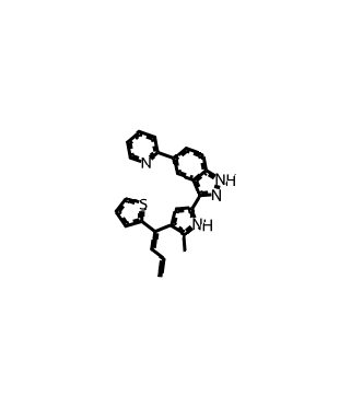 C=C/C=C(/c1cccs1)c1cc(-c2n[nH]c3ccc(-c4ccccn4)cc23)[nH]c1C